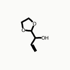 C=CC(O)C1OCCO1